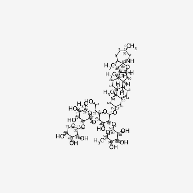 C[C@@H]1CCC[C@@]2(NC1)O[C@H]1C[C@H]3[C@@H]4CC=C5C[C@@H](OC6O[C@H](CCO)[C@@H](O[C@@H]7O[C@@H](C)[C@H](O)[C@@H](O)[C@H]7O[C@@H]7OC[C@@H](O)[C@H](O)[C@H]7O)[C@H](O)[C@H]6O[C@@H]6O[C@@H](C)[C@H](O)[C@@H](O)[C@H]6O)CC[C@]5(C)[C@H]4CC[C@]3(C)[C@H]1[C@@H]2C